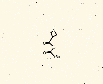 CC(C)(C)C(=O)OC(=O)C1CNC1